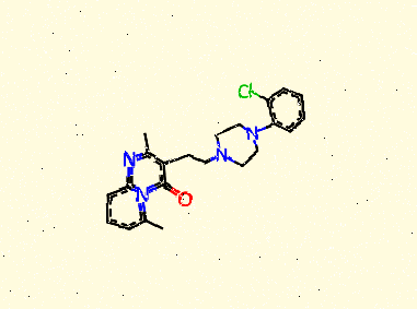 Cc1nc2cccc(C)n2c(=O)c1CCN1CCN(c2ccccc2Cl)CC1